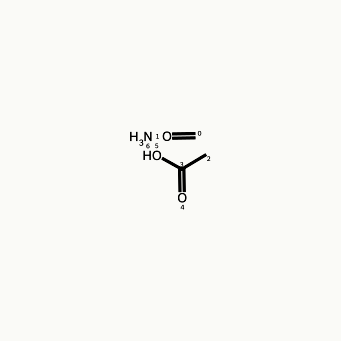 C=O.CC(=O)O.N